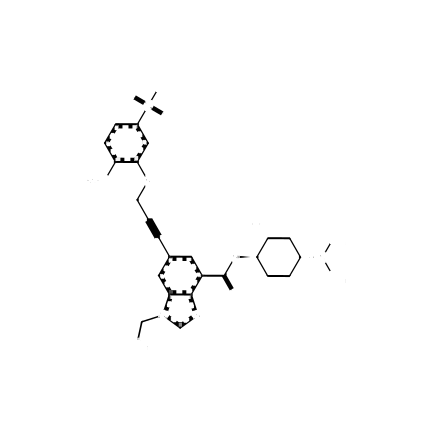 COc1ccc(S(C)(=O)=O)cc1NCC#Cc1cc(C(=O)N[C@@H]2CC[C@@H](N(C)C)C[C@H]2C)c2ncn(CC(F)(F)F)c2c1